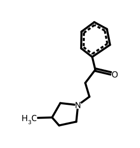 CC1CCN(CCC(=O)c2ccccc2)C1